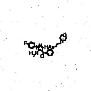 Nc1c(C(=O)c2cccc([AsH]CCCN3CCOCC3)c2)cnn1-c1ccc(F)cc1